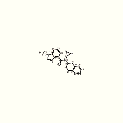 Cn1ccc2c(C(=O)N(C3CC3)C3CCc4nnccc4C3)cccc21